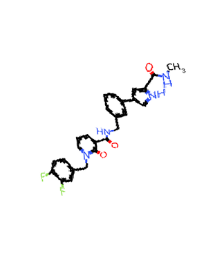 CNC(=O)c1cc(-c2cccc(CNC(=O)c3cccn(Cc4ccc(F)c(F)c4)c3=O)c2)c[nH]1